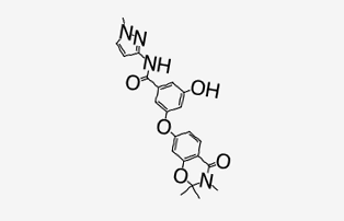 CN1C(=O)c2ccc(Oc3cc(O)cc(C(=O)Nc4ccn(C)n4)c3)cc2OC1(C)C